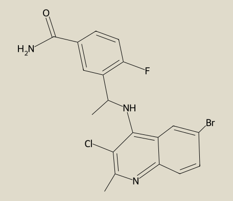 Cc1nc2ccc(Br)cc2c(NC(C)c2cc(C(N)=O)ccc2F)c1Cl